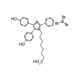 BrB(Br)Br.O=C(O)CCCCCCCn1c(-c2ccccc2)nc(-c2ccc(O)cc2)c1-c1ccc(O)cc1